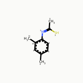 C/C(S)=N/c1ccc(C)cc1C